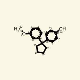 COc1cccc(C2(c3ccc(O)cc3)CCCC2)c1